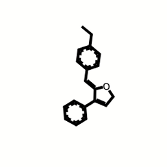 CCc1ccc(C=C2OCC=C2c2ccccc2)cc1